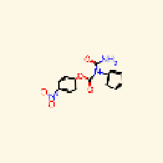 NC(=O)N(C(=O)Oc1ccc([N+](=O)[O-])cc1)c1ccccc1